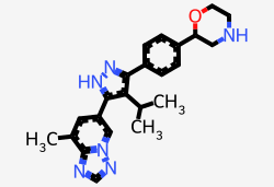 Cc1cc(-c2[nH]nc(-c3ccc(C4CNCCO4)cc3)c2C(C)C)cn2ncnc12